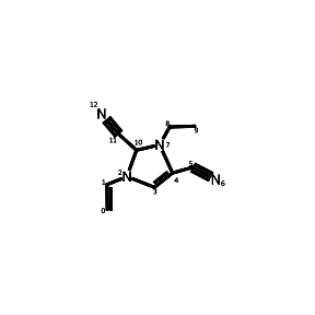 C=CN1C=C(C#N)N(CC)C1C#N